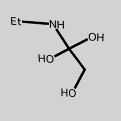 CCNC(O)(O)CO